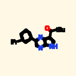 CC(C)c1cccc(-c2cnc3[nH]cc(C(=O)C(C)(C)C)c3n2)c1